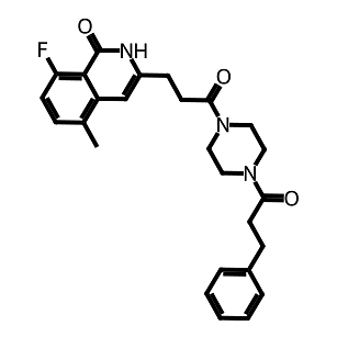 Cc1ccc(F)c2c(=O)[nH]c(CCC(=O)N3CCN(C(=O)CCc4ccccc4)CC3)cc12